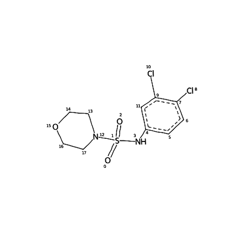 O=S(=O)(Nc1ccc(Cl)c(Cl)c1)N1CCOCC1